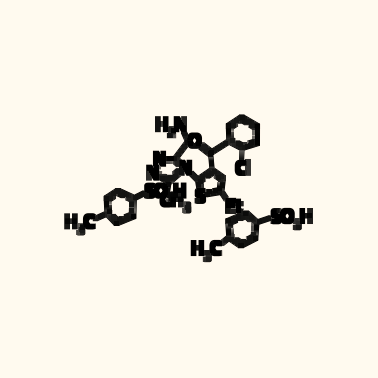 CCc1cc(C(=O)c2ccccc2Cl)c(-n2c(C)nnc2CN)s1.Cc1ccc(S(=O)(=O)O)cc1.Cc1ccc(S(=O)(=O)O)cc1